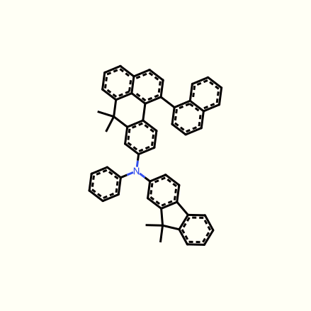 CC1(C)c2ccccc2-c2ccc(N(c3ccccc3)c3ccc4c(c3)C(C)(C)c3cccc5ccc(-c6cccc7ccccc67)c-4c35)cc21